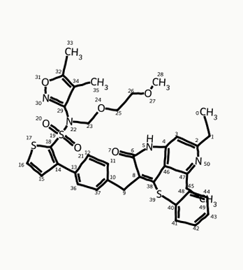 CCc1cc2[nH]c(=O)c(Cc3ccc(-c4ccsc4S(=O)(=O)N(COCCOC)c4noc(C)c4C)cc3)c(Sc3ccccc3)c2c(CC)n1